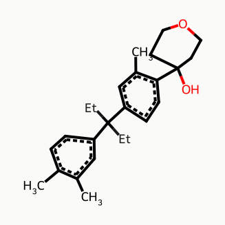 CCC(CC)(c1ccc(C)c(C)c1)c1ccc(C2(O)CCOCC2)c(C)c1